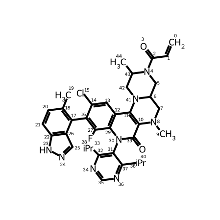 C=CC(=O)N1CC2CN(C)c3c(c4cc(Cl)c(-c5c(C)ccc6[nH]ncc56)c(F)c4n(-c4c(C(C)C)ncnc4C(C)C)c3=O)N2CC1C